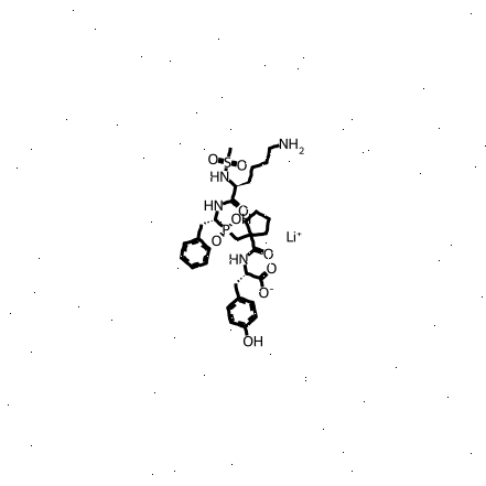 CS(=O)(=O)N[C@@H](CCCCN)C(=O)N[C@@H](Cc1ccccc1)P(=O)(O)CC1(C(=O)N[C@@H](Cc2ccc(O)cc2)C(=O)[O-])CCCC1.[Li+]